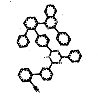 N#Cc1ccccc1-c1cccc(C2NC(c3ccccc3)=NC(c3ccc(-c4c(-c5ccccc5)cccc4-c4nc(-c5ccccc5)nc5ccccc45)cc3)N2)c1